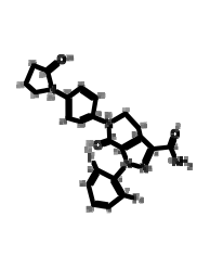 NC(=O)c1nn(-c2c(F)cccc2F)c2c1CCN(c1ccc(N3CCCC3=O)cc1)C2=O